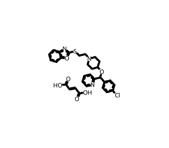 Clc1ccc(C(OC2CCN(CCSc3nc4ccccc4o3)CC2)c2ccccn2)cc1.O=C(O)C=CC(=O)O